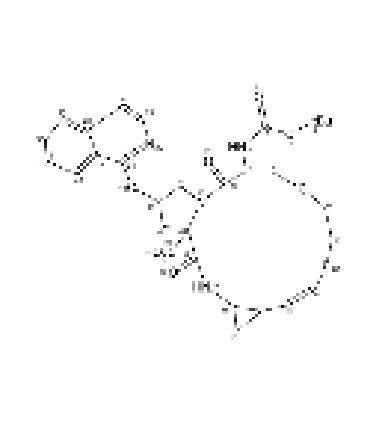 CC(C)(C)OC(=O)NC1CCCCCC=CC2CC2NC(=O)C2(C(=O)O)CC(Oc3nccc4ccccc34)CN2C1=O